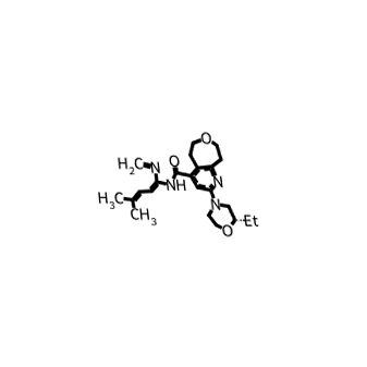 C=N/C(=C\C=C(C)C)NC(=O)c1cc(N2CCO[C@@H](CC)C2)nc2c1CCOCC2